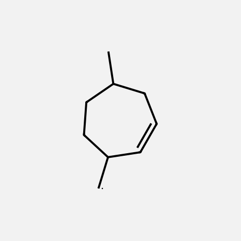 [CH2]C1C=CCC(C)CC1